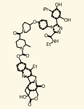 CCNC(=O)c1nnc(-c2cc(C(C)C)c(O)cc2O)n1-c1ccc(OC2CCN(C(=O)C3CCN(C(=O)Oc4ccc5nc6c(c(CC)c5c4)Cn4c-6c5c6c(c4=O)COC(=O)[C@]6(O)C5)C(C)C3)CC2)cc1